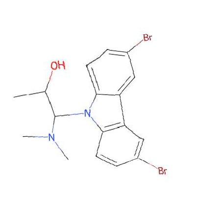 CC(O)C(N(C)C)n1c2ccc(Br)cc2c2cc(Br)ccc21